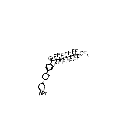 CCC[C@H]1CC[C@H](C2CCC(c3ccc(C(=O)C(F)(F)C(F)(F)C(F)(F)C(F)(F)C(F)(F)C(F)(F)C(F)(F)C(F)(F)F)cc3)CC2)CC1